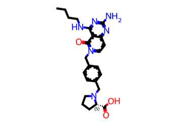 CCCCNc1nc(N)nc2ccn(Cc3ccc(CN4CCC[C@H]4C(=O)O)cc3)c(=O)c12